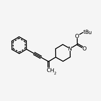 C=C(C#Cc1ccccc1)C1CCN(C(=O)OC(C)(C)C)CC1